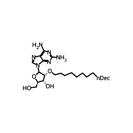 CCCCCCCCCCCCCCCCCCO[C@H]1C(n2cnc3c(N)nc(N)nc32)O[C@H](CO)[C@H]1O